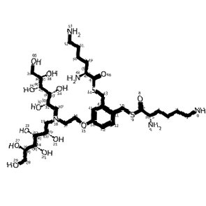 NCCCC[C@H](N)C(=O)SCc1ccc(OCCN(C[C@H](O)[C@@H](O)[C@H](O)[C@H](O)CO)C[C@H](O)[C@@H](O)[C@H](O)[C@H](O)CO)cc1CSC(=O)[C@@H](N)CCCCN